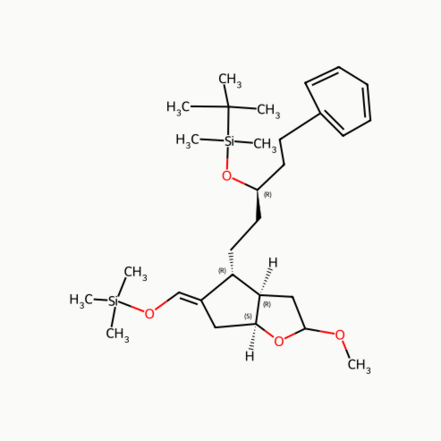 COC1C[C@H]2[C@H](CC(=CO[Si](C)(C)C)[C@@H]2CC[C@H](CCc2ccccc2)O[Si](C)(C)C(C)(C)C)O1